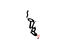 C=CCC[C@@H]1CC[C@@H]2CC(C3CCc4cc(OC)ccc4C3)CCC2C1